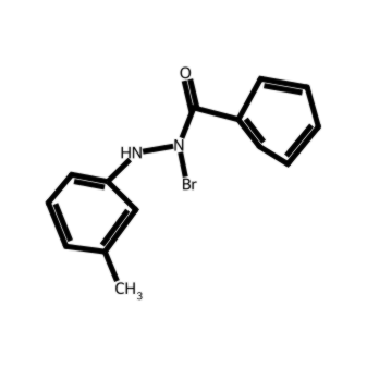 Cc1cccc(NN(Br)C(=O)c2ccccc2)c1